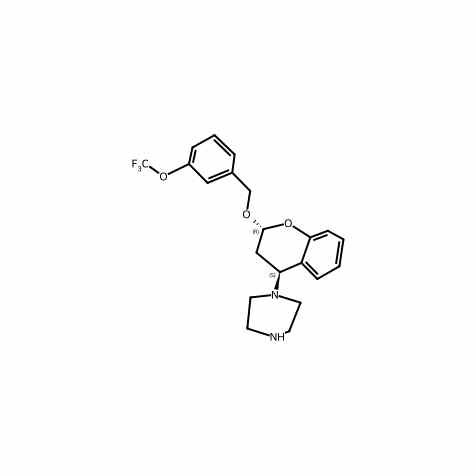 FC(F)(F)Oc1cccc(CO[C@H]2C[C@H](N3CCNCC3)c3ccccc3O2)c1